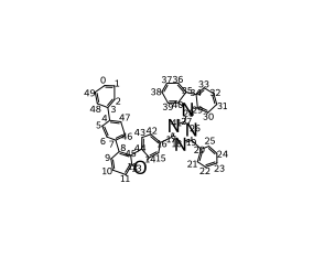 c1ccc(-c2ccc(-c3cccc4oc5cc(-c6nc(-c7ccccc7)nc(-n7c8ccccc8c8ccccc87)n6)ccc5c34)cc2)cc1